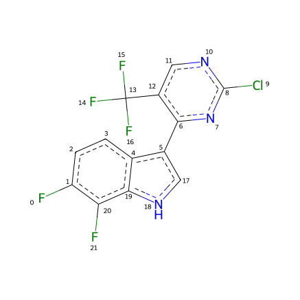 Fc1ccc2c(-c3nc(Cl)ncc3C(F)(F)F)c[nH]c2c1F